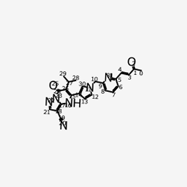 CC(=O)/C=C/c1cccc(Cn2ccc(-c3[nH]c4c(C#N)cnn4c(=O)c3C(C)C)c2)n1